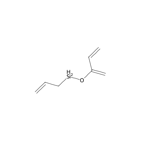 C=CC[SiH2]OC(=C)C=C